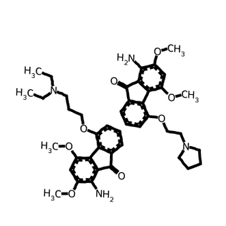 CCN(CC)CCCOc1cccc2c1-c1c(OC)cc(OC)c(N)c1C2=O.COc1cc(OC)c2c(c1N)C(=O)c1cccc(OCCN3CCCC3)c1-2